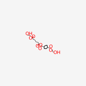 O=C(CCCCC(=O)OC(=O)c1ccc(C(=O)OCCO)cc1)OCCO